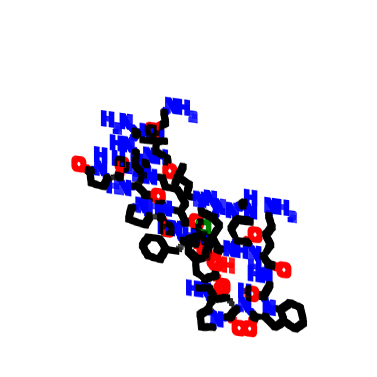 CCCC[C@H](NC(=O)[C@@H]1CC2CCCCC2N1C(=O)CNC(=O)[C@H](CCCCN)NC(=O)[C@H](Cc1c[nH]cn1)NC(=O)[C@H](Cc1cn(CCC(C)(C)OCCC(C)(C)OCCN)nn1)NC(=O)[C@H](CC1CCCCC1)NC(=O)[C@H](CCCCNC(=N)N)NC(=O)[C@@H]1CCCN1C(=O)[C@H](CCCNC(=N)N)NC(=O)[C@@H]1CCC(=O)N1)C(=O)N1CCC[C@H]1C(=O)N[C@@H](Cc1ccc(Cl)cc1)C(=O)O